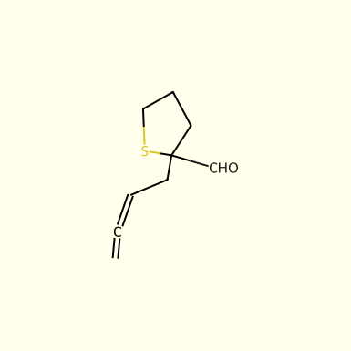 C=C=CCC1(C=O)CCCS1